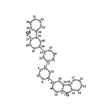 c1cc(-c2cccc(-c3ccc4sc5ccccc5c4c3)c2)cc(-c2ccc3sc4ccccc4c3c2)c1